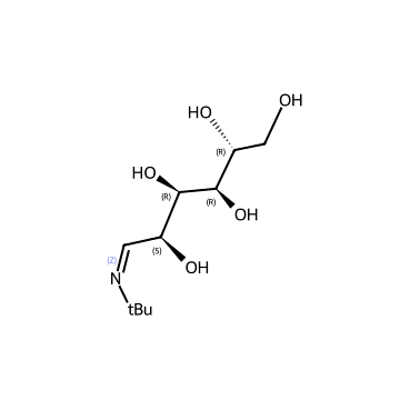 CC(C)(C)/N=C\[C@H](O)[C@@H](O)[C@H](O)[C@H](O)CO